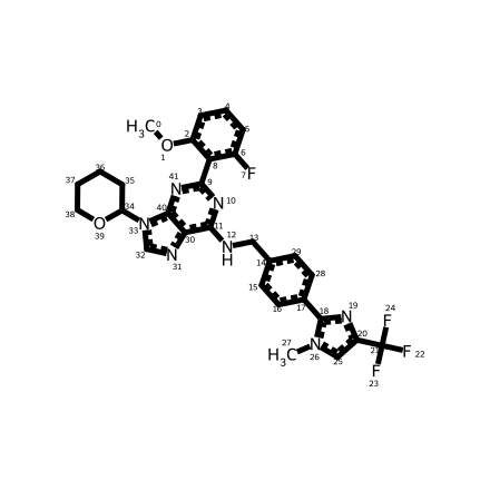 COc1cccc(F)c1-c1nc(NCc2ccc(-c3nc(C(F)(F)F)cn3C)cc2)c2ncn(C3CCCCO3)c2n1